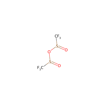 O=S(OS(=O)C(F)(F)F)C(F)(F)F